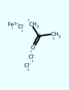 CC(C)=O.[Cl-].[Cl-].[Cl-].[Fe+3]